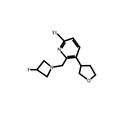 CCc1ccc(C2CCOC2)c(CN2CC(F)C2)n1